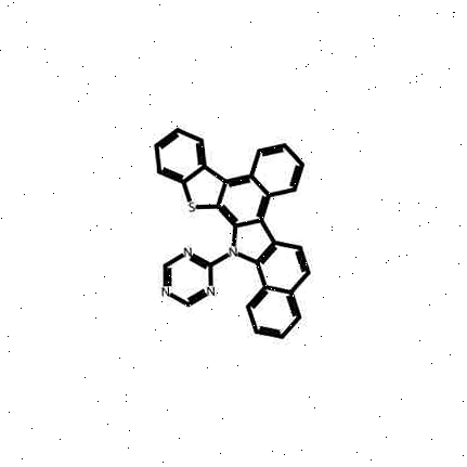 c1ccc2c(c1)ccc1c3c4ccccc4c4c5ccccc5sc4c3n(-c3ncncn3)c21